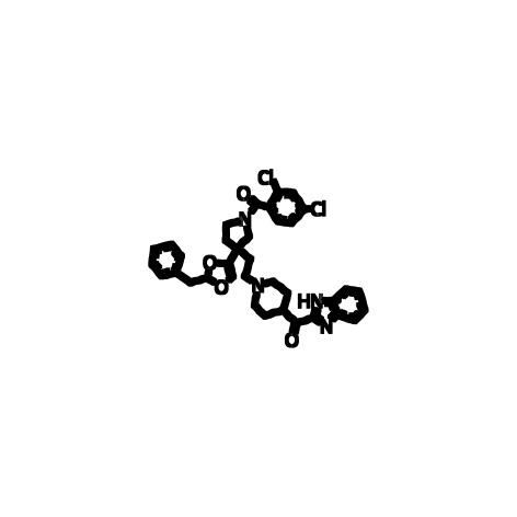 O=C(c1nc2ccccc2[nH]1)C1CCN(CCC2(C3=COC(Cc4ccccc4)O3)CCN(C(=O)c3ccc(Cl)cc3Cl)C2)CC1